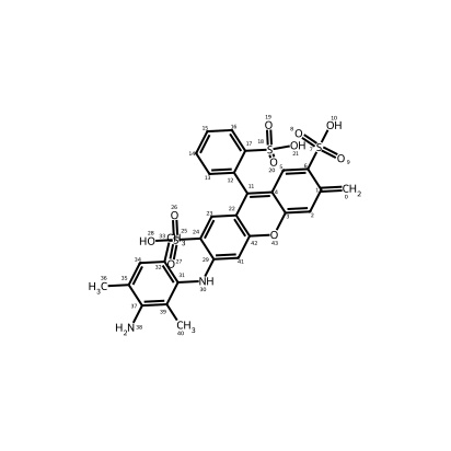 C=c1cc2c(cc1S(=O)(=O)O)=C(c1ccccc1S(=O)(=O)O)c1cc(S(=O)(=O)O)c(Nc3c(C)cc(C)c(N)c3C)cc1O2